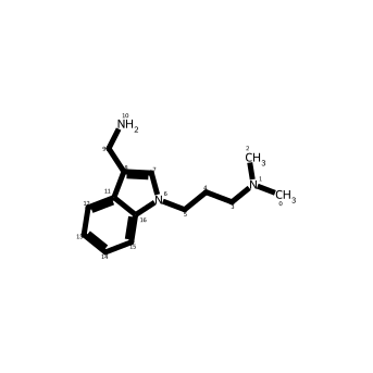 CN(C)CCCn1cc(CN)c2ccccc21